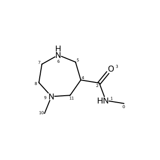 CNC(=O)C1CNCCN(C)C1